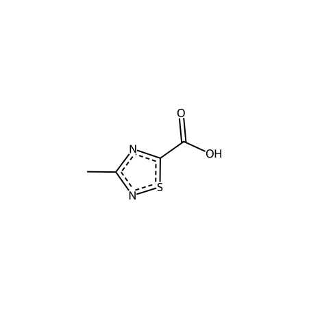 Cc1nsc(C(=O)O)n1